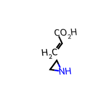 C1CN1.C=CC(=O)O